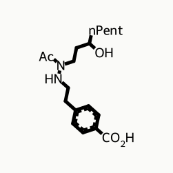 CCCCCC(O)CCN(NCCc1ccc(C(=O)O)cc1)C(C)=O